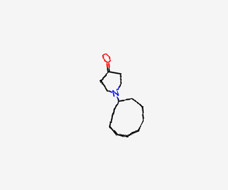 O=C1CCN(C2CCCCCCCC2)CC1